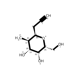 C#CC[C@H]1O[C@H](CO)[C@H](O)[C@H](O)[C@H]1C